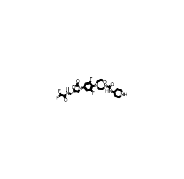 O=C(NC[C@H]1CN(c2cc(F)c(N3CCON(C(=O)NC4CCNCC4)CC3)c(F)c2)C(=O)O1)C(F)F